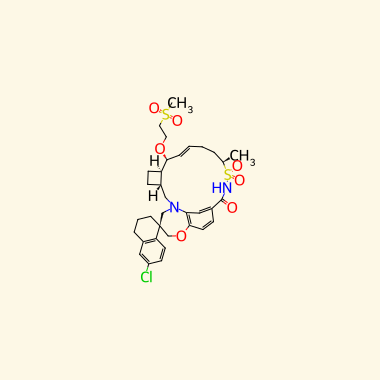 C[C@@H]1CC/C=C/[C@H](OCCS(C)(=O)=O)[C@@H]2CC[C@H]2CN2C[C@@]3(CCCc4cc(Cl)ccc43)COc3ccc(cc32)C(=O)NS1(=O)=O